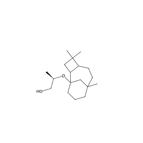 C[C@H](CO)OC12CCCC(C)(CCC3C1CC3(C)C)C2